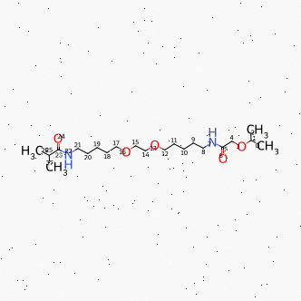 CC(C)OCC(=O)NCCCCCOCCOCCCCCNC(=O)C(C)C